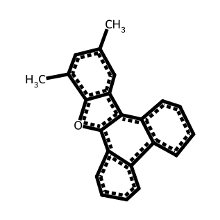 Cc1cc(C)c2oc3c4ccccc4c4ccccc4c3c2c1